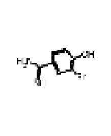 N=C(N)c1ccc(O)c(Br)c1